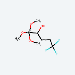 CO[Si](OC)(OC)C(O)CCC(F)(F)F